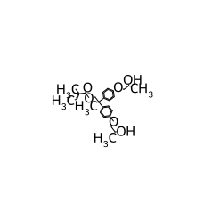 CC=C(C)C(=O)OCC(C)(c1ccc(OCC(C)O)cc1)c1ccc(OCC(C)O)cc1